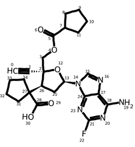 C#C[C@]1(COC(=O)C2CCCC2)O[C@@H](n2cnc3c(N)nc(F)nc32)C[C@H]1C1(C(=O)O)CCCC1